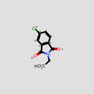 O=C(O)CN1C(=O)c2ccc(Cl)cc2C1=O